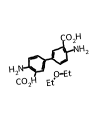 CCOCC.Nc1ccc(-c2ccc(N)c(C(=O)O)c2)cc1C(=O)O